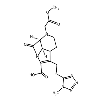 COC(=O)CN1CCC2C(CSc3nnnn3C)=C(C(=O)O)N3C(=O)[C@@H]1[C@@H]23